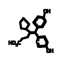 O=C(O)CCC(=C(c1ccc(O)cc1)c1ccc(O)cc1)C1CCCC1